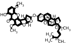 COc1ccc(O)c2c(=O)c3c(OC)cc4c(c3oc12)[C@@H]1C[C@H](O[C@H]2CC[C@]3(C)[C@H]5CC[C@]6(C)[C@@H]([C@H](C)C=C[C@H](C)C(C)C)CC[C@H]6[C@@]56C=C[C@]3(C2)OO6)O[C@@H]1O4